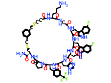 NCCCC[C@@H]1NC(=O)CCSCc2cccc(c2)CSC[C@@H](C(N)=O)NC(=O)[C@@H]2CCCN2C(=O)[C@H](Cc2ccc(C(F)(F)F)cc2)NC(=O)[C@H](Cc2cnc[nH]2)NC(=O)[C@H](CC(=O)O)NC(=O)[C@H](Cc2c[nH]c3ccc(F)cc23)NC(=O)[C@H](Cc2c[nH]c3ccc(F)cc23)NC(=O)CNC1=O